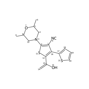 [C-]#[N+]c1c(N2CC(C)OC(C)C2)sc(C(=C)O)c1-c1cccs1